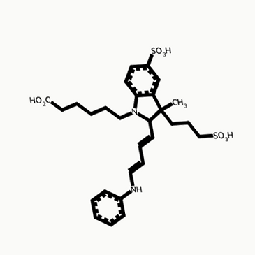 CC1(CCCS(=O)(=O)O)c2cc(S(=O)(=O)O)ccc2N(CCCCCC(=O)O)C1/C=C/C=C/Nc1ccccc1